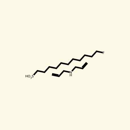 C=CCNCC=C.O=S(=O)(O)CCCCCCCCCCCF